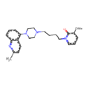 COc1cccn(CCCCN2CCN(c3cccc4nc(C)ccc34)CC2)c1=O